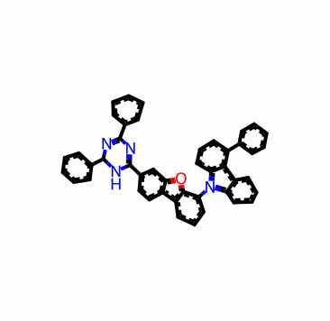 c1ccc(C2=NC(c3ccccc3)NC(c3ccc4c(c3)oc3c(-n5c6ccccc6c6c(-c7ccccc7)cccc65)cccc34)=N2)cc1